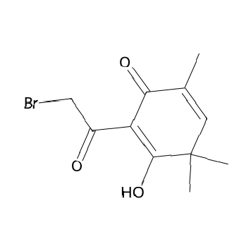 CC1=CC(C)(C)C(O)=C(C(=O)CBr)C1=O